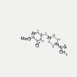 COc1ncc(CN2CCN(S(C)=S)CC2)cc1Cl